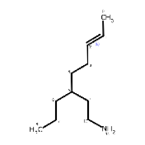 C/C=C/CCC(CCC)CCN